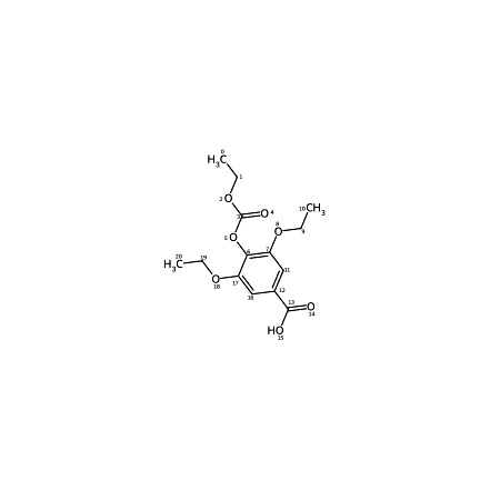 CCOC(=O)Oc1c(OCC)cc(C(=O)O)cc1OCC